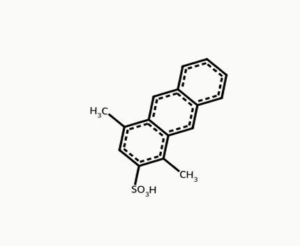 Cc1cc(S(=O)(=O)O)c(C)c2cc3ccccc3cc12